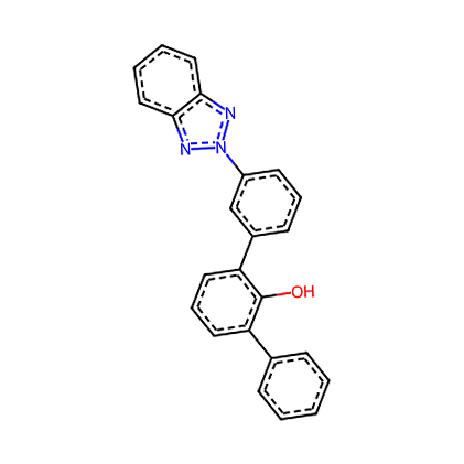 Oc1c(-c2ccccc2)cccc1-c1cccc(-n2nc3ccccc3n2)c1